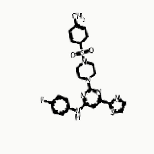 CC1=CCC(S(=O)(=O)N2CCN(c3nc(Nc4ccc(F)cc4)cc(-c4nccs4)n3)CC2)C=C1